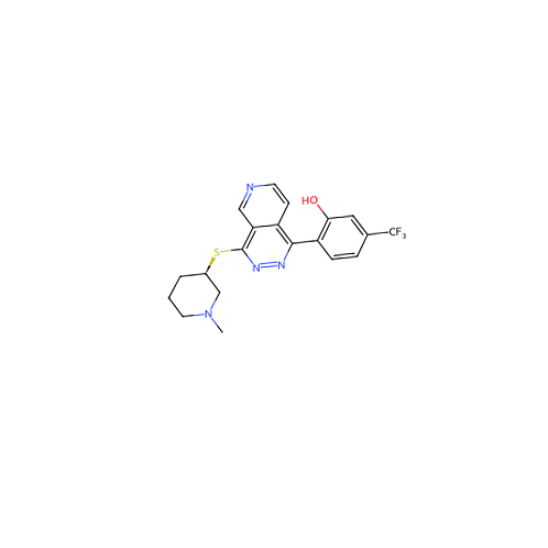 CN1CCC[C@@H](Sc2nnc(-c3ccc(C(F)(F)F)cc3O)c3ccncc23)C1